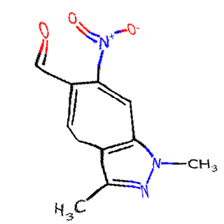 Cc1nn(C)c2cc([N+](=O)[O-])c(C=O)cc12